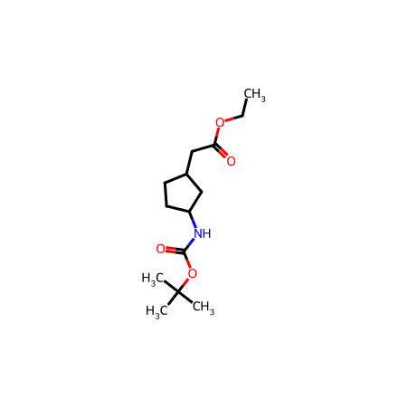 CCOC(=O)CC1CCC(NC(=O)OC(C)(C)C)C1